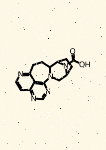 O=C(O)N1C2CCC1C1CCc3nccc4ncnc(c34)N1C2